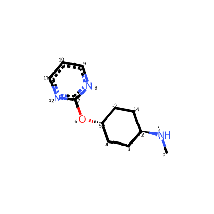 CN[C@H]1CC[C@H](Oc2ncccn2)CC1